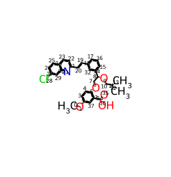 COc1ccc(OCC(OCC(C)C)c2cccc(/C=C/c3ccc4ccc(Cl)cc4n3)c2)c(C(=O)O)c1